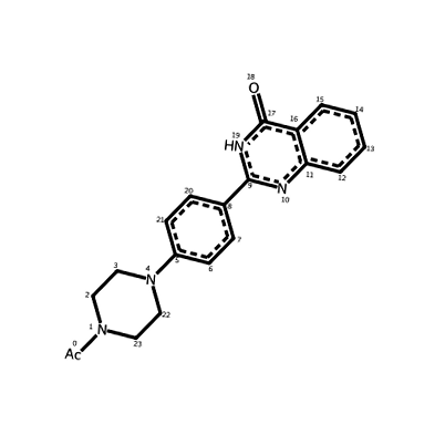 CC(=O)N1CCN(c2ccc(-c3nc4ccccc4c(=O)[nH]3)cc2)CC1